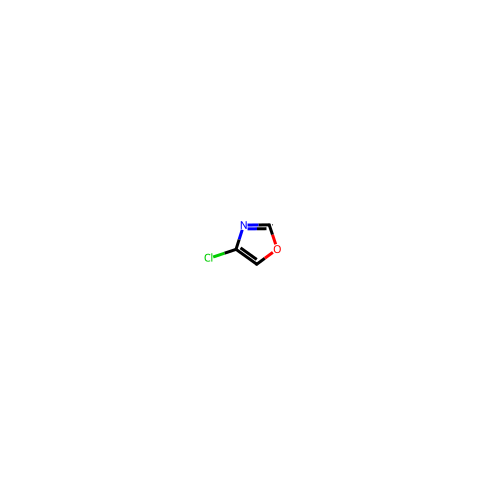 Clc1co[c]n1